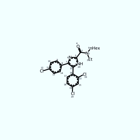 CCCCCCN(CC)C(=O)c1nc(-c2ccc(Cl)cc2)c(-c2ccc(Cl)cc2Cl)[nH]1